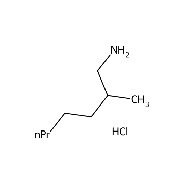 CCCCCC(C)CN.Cl